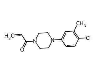 C=CC(=O)N1CCN(c2ccc(Cl)c(C)c2)CC1